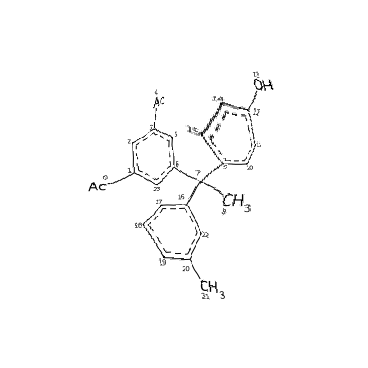 CC(=O)c1cc(C(C)=O)cc(C(C)(c2ccc(O)cc2)c2cccc(C)c2)c1